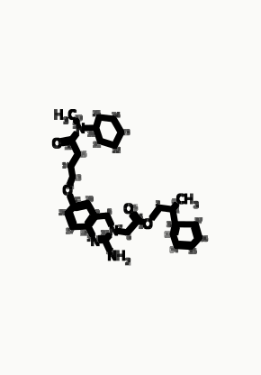 CC(COC(=O)CN1Cc2cc(OCCCC(=O)N(C)C3CCCCC3)ccc2N=C1N)c1ccccc1